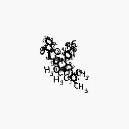 Cc1cc(C)c(-c2ccc3c(c2)C(C)(C)c2cc(C=C4C(=O)c5ccccc5C4=O)sc2N3c2ccc(C(F)(F)F)cc2)c(C)c1